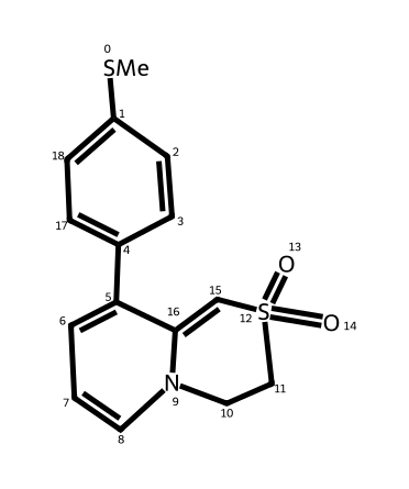 CSc1ccc(C2=CC=CN3CCS(=O)(=O)C=C23)cc1